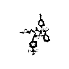 C#Cc1ccc(-n2c(C(C)N(CCOCC)C(=O)Cc3ccc(C(F)(F)F)cc3)nc3ccccc3c2=O)cc1